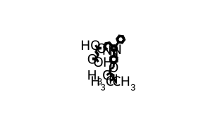 CC(COc1ccc(-n2nc(-c3ccccc3)c3cccnc32)cc1)CN(C)C.O=C(O)C=CC(=O)O